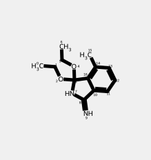 CCOC1(OCC)NC(=N)c2cccc(C)c21